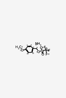 COc1ccc(COS(=O)(=O)C(F)(F)F)cc1.N